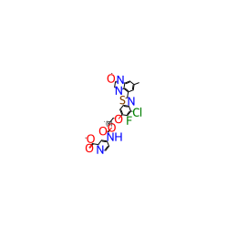 COC(=O)c1cc(NC(=O)O[C@H](C)COc2cc3sc(-c4cc(C)cc5nc(OC)cnc45)nc3c(Cl)c2F)ccn1